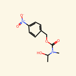 CC(O)N(C)C(=O)OCc1ccc([N+](=O)[O-])cc1